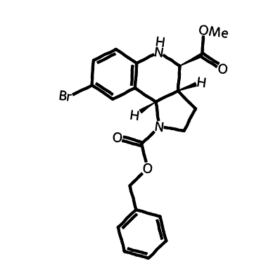 COC(=O)[C@@H]1Nc2ccc(Br)cc2[C@@H]2[C@H]1CCN2C(=O)OCc1ccccc1